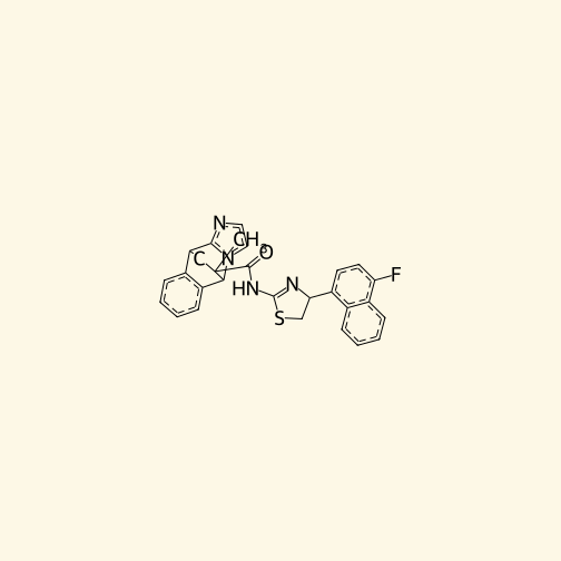 CC1(C(=O)NC2=NC(c3ccc(F)c4ccccc34)CS2)CC2c3ccccc3C1n1ccnc12